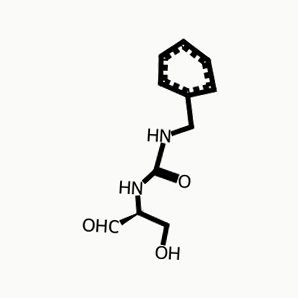 O=C[C@H](CO)NC(=O)NCc1ccccc1